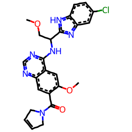 COCC(Nc1ncnc2cc(C(=O)N3CC=CC3)c(OC)cc12)c1nc2cc(Cl)ccc2[nH]1